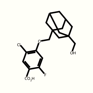 O=C(O)c1cc(Cl)c(OCC23CC4CC(CC(CO)(C4)C2)C3)cc1F